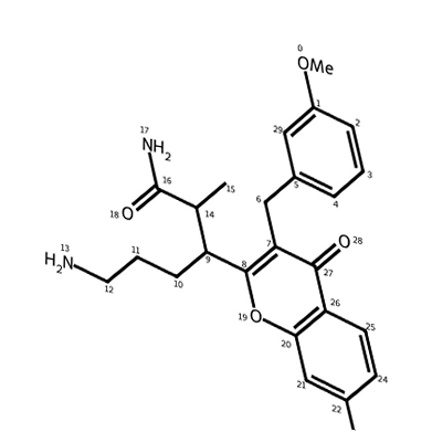 COc1cccc(Cc2c(C(CCCN)C(C)C(N)=O)oc3cc(Cl)ccc3c2=O)c1